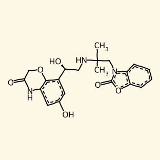 CC(C)(Cn1c(=O)oc2ccccc21)NC[C@H](O)c1cc(O)cc2c1OCC(=O)N2